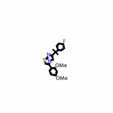 COc1ccc(-c2csc3nc(C(C)(C)c4ccc(F)cc4)cn23)c(OC)c1